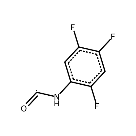 O=[C]Nc1cc(F)c(F)cc1F